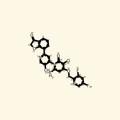 Cc1cnc(-c2cccc3c2OCC3=O)cc1-n1c(C)cc(OCc2ncc(F)cc2F)c(Cl)c1=O